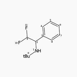 CC(C)(C)NC(c1ccccc1)C(F)F